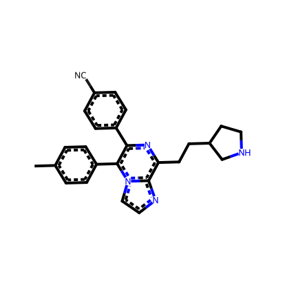 Cc1ccc(-c2c(-c3ccc(C#N)cc3)nc(CCC3CCNC3)c3nccn23)cc1